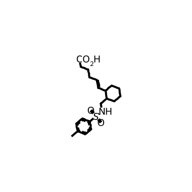 Cc1ccc(S(=O)(=O)NCC2CCCCC2C=CCCCC(=O)O)cc1